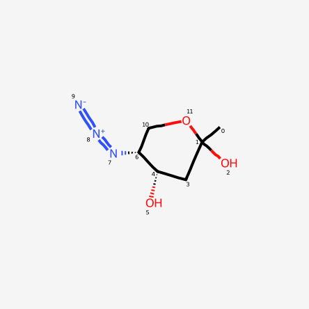 CC1(O)C[C@H](O)[C@H](N=[N+]=[N-])CO1